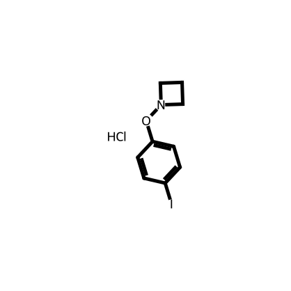 Cl.Ic1ccc(ON2CCC2)cc1